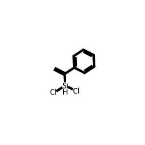 C=C(c1ccccc1)[SiH](Cl)Cl